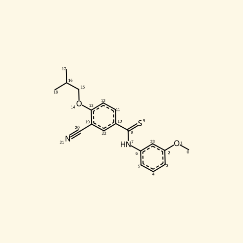 COc1cccc(NC(=S)c2ccc(OCC(C)C)c(C#N)c2)c1